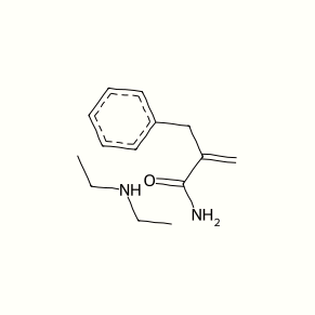 C=C(Cc1ccccc1)C(N)=O.CCNCC